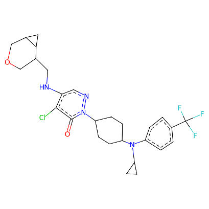 O=c1c(Cl)c(NCC2COCC3CC23)cnn1C1CCC(N(c2ccc(C(F)(F)F)cc2)C2CC2)CC1